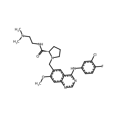 COc1cc2ncnc(Nc3ccc(F)c(Cl)c3)c2cc1CN1CCC[C@@H]1C(=O)NCCN(C)C